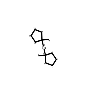 C[C]1([Zn][C]2(C)CCCC2)CCCC1